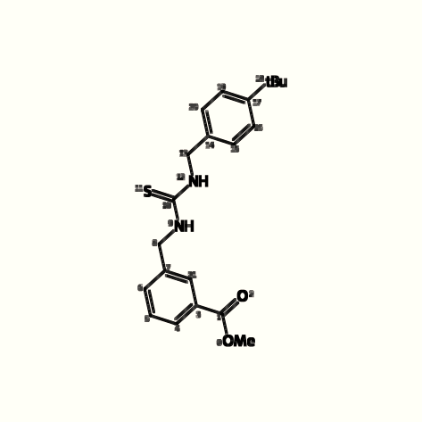 COC(=O)c1cccc(CNC(=S)NCc2ccc(C(C)(C)C)cc2)c1